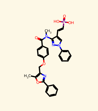 Cc1oc(-c2ccccc2)nc1COc1ccc(C(=O)N(C)c2nn(-c3ccccc3)cc2C=CP(=O)(O)O)cc1